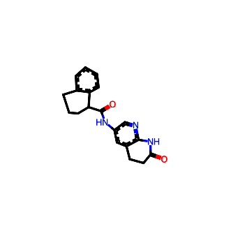 O=C1CCc2cc(NC(=O)C3CCCc4ccccc43)cnc2N1